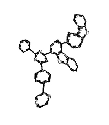 c1ccc(-c2nc(-c3ccc(-c4ccccn4)cc3)cc(-c3ccc(-c4ccc5oc6ccccc6c5c4)c4c3oc3ccccc34)n2)cc1